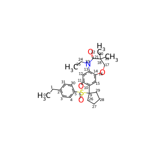 CCc1ccc(S(=O)(=O)C2(c3ccc4c(c3)OCC(C)(C)C(=O)N4CC)CCCC2)cc1